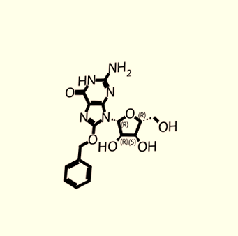 Nc1nc2c(nc(OCc3ccccc3)n2[C@@H]2O[C@H](CO)[C@@H](O)[C@H]2O)c(=O)[nH]1